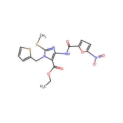 CCOC(=O)c1c(NC(=O)c2ccc([N+](=O)[O-])o2)nc(SC)n1Cc1cccs1